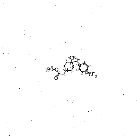 CC(C)(C)OC(=O)CN1CCC(C#N)(Cc2ccc(C(F)(F)F)cc2)CC1